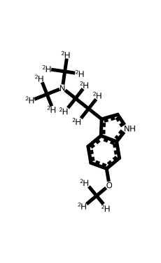 [2H]C([2H])([2H])Oc1ccc2c(C([2H])([2H])C([2H])([2H])N(C([2H])([2H])[2H])C([2H])([2H])[2H])c[nH]c2c1